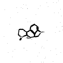 CN1CCCC2c3cccc4[nH]cc(c34)C[C@]21N